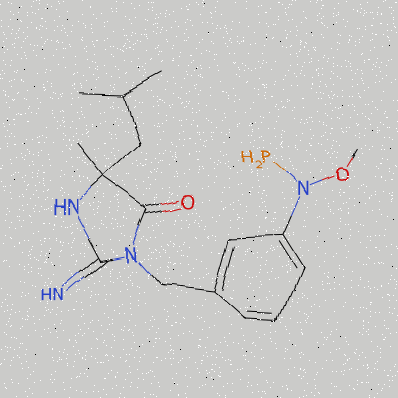 CON(P)c1cccc(CN2C(=N)NC(C)(CC(C)C)C2=O)c1